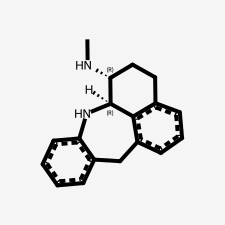 CN[C@@H]1CCc2cccc3c2[C@H]1Nc1ccccc1C3